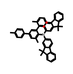 Cc1ccc(-c2cc(C)c(N(c3ccc4c(c3)C(C)(C)c3ccccc3-4)c3ccc4c(c3)C(C)(C)c3ccccc3-4)c(-c3ccccc3C)c2)cc1